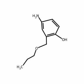 CCCOCc1cc(N)ccc1O